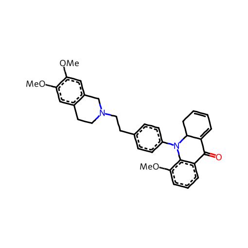 COc1cc2c(cc1OC)CN(CCc1ccc(N3c4c(OC)cccc4C(=O)C4=CC=CCC43)cc1)CC2